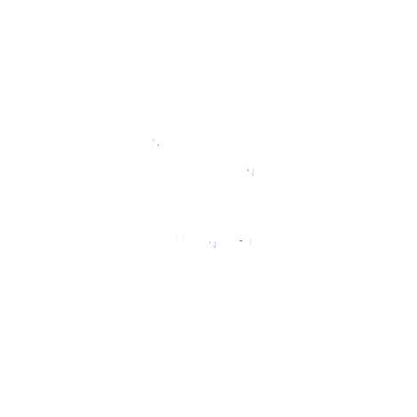 CC[C@@H]1CC(=O)N2COCCOc3cc4c(nccc4cc3C#N)OCC[C@H]12